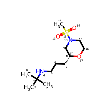 CC(C)(C)NCCC[C@@H]1CN(S(C)(=O)=O)CCO1